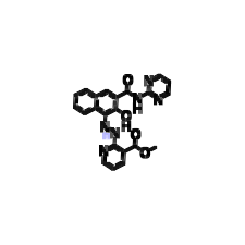 COC(=O)c1cccnc1/N=N/c1c(O)c(C(=O)Nc2ncccn2)cc2ccccc12